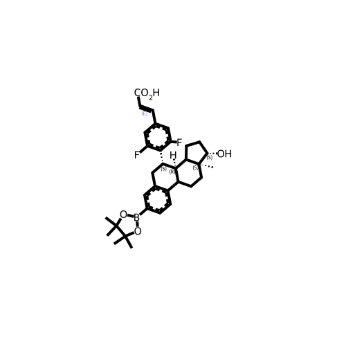 CC1(C)OB(c2ccc3c(c2)C[C@H](c2c(F)cc(/C=C/C(=O)O)cc2F)[C@@H]2C3CC[C@@]3(C)C2CC[C@@H]3O)OC1(C)C